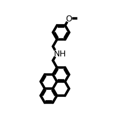 COc1ccc(CNCc2ccc3c4c2ccc2cccc(c24)CC3)cc1